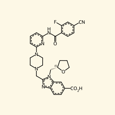 N#Cc1ccc(C(=O)Nc2cccc(N3CCN(Cc4nc5ccc(C(=O)O)cc5n4C[C@@H]4CCCO4)CC3)n2)c(F)c1